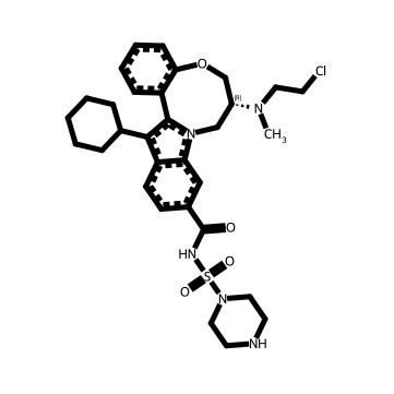 CN(CCCl)[C@H]1COc2ccccc2-c2c(C3CCCCC3)c3ccc(C(=O)NS(=O)(=O)N4CCNCC4)cc3n2C1